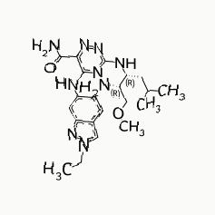 CCn1cc2ccc(Nc3nc(N[C@H](CC(C)C)[C@@H](N)COC)nnc3C(N)=O)cc2n1